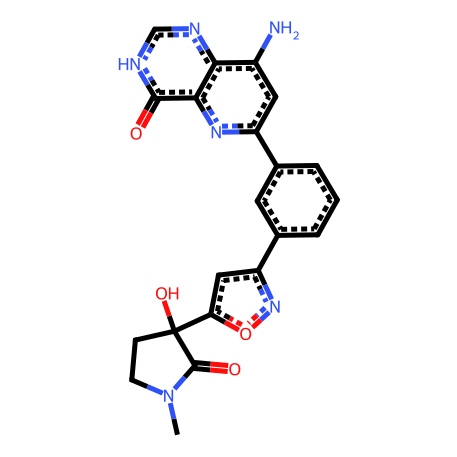 CN1CCC(O)(c2cc(-c3cccc(-c4cc(N)c5nc[nH]c(=O)c5n4)c3)no2)C1=O